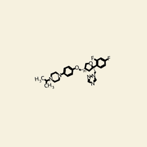 CC(C)N1CCN(c2ccc(OC[C@@H]3CO[C@@](Cn4cncn4)(c4ccc(F)cc4F)C3)cc2)CC1